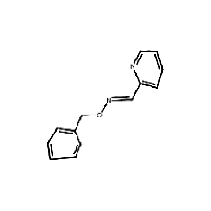 C(=NOCc1ccccc1)c1ccccn1